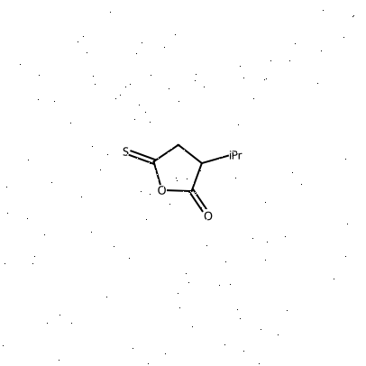 CC(C)C1CC(=S)OC1=O